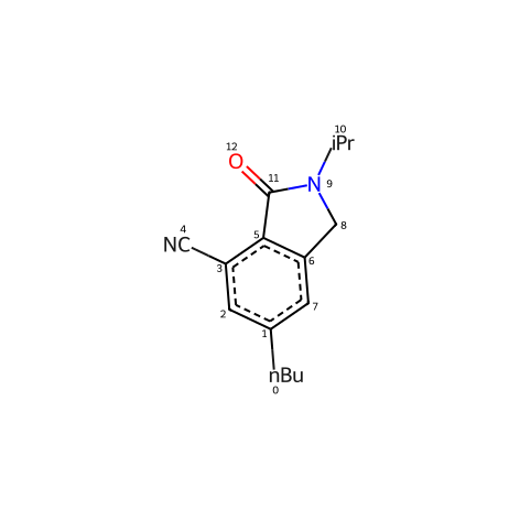 CCCCc1cc(C#N)c2c(c1)CN(C(C)C)C2=O